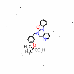 CC(C)(Oc1cccc(CN(Cc2ccccn2)c2nc3ccccc3o2)c1)C(=O)O